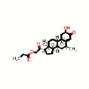 CCC(=O)OCC(=O)[C@H]1CC[C@H]2[C@@H]3C[C@H](C)C4=CC(=O)C(O)C[C@]4(C)[C@H]3CC[C@]12C